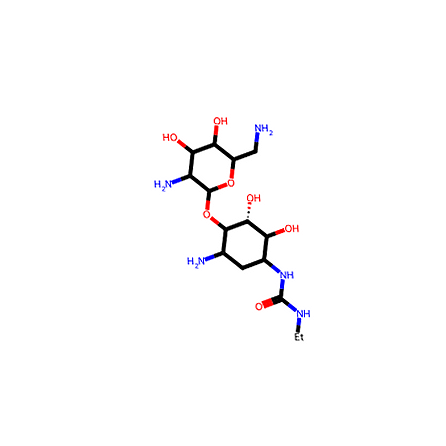 CCNC(=O)NC1CC(N)C(OC2OC(CN)C(O)C(O)C2N)[C@H](O)C1O